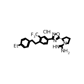 CCc1ccc(CCc2ccc(-c3noc([C@@H]4CCCN4C(=N)N)n3)cc2C(F)(F)F)cc1.Cl